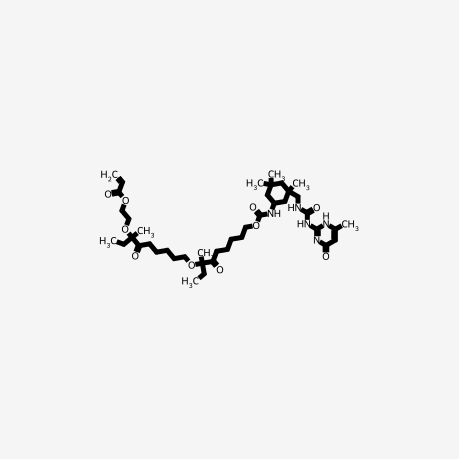 C=CC(=O)OCCOC(C)(CC)C(=O)CCCCCOC(C)(CC)C(=O)CCCCCOC(=O)NC1CC(C)(C)CC(C)(CNC(=O)Nc2nc(=O)cc(C)[nH]2)C1